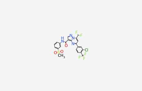 CS(=O)(=O)c1cccc(NC(=O)c2cnn3c(C(F)F)cc(-c4ccc(C(F)(F)F)c(Cl)c4)nc23)c1